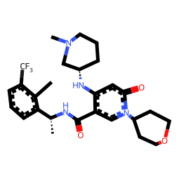 Cc1c([C@@H](C)NC(=O)c2cn(C3CCOCC3)c(=O)cc2N[C@H]2CCCN(C)C2)cccc1C(F)(F)F